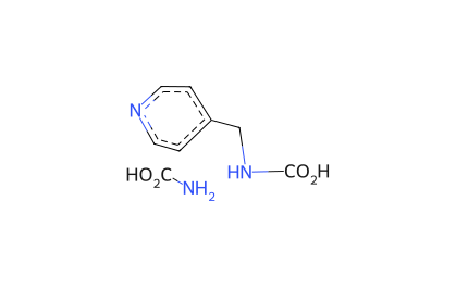 NC(=O)O.O=C(O)NCc1ccncc1